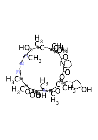 C/C1=C\[C@@H](C)C(=O)C[C@@H]([C@H](C)C[C@H]2CC[C@H](O)CC2)OC(=O)C2CCCCN2C(=O)C[C@@](C)(O)[C@H](C)CC[C@H](C)C[C@H](O)/C(C)=C/C=C/C=C/[C@@H](C)C[C@@H](C)C(=O)[C@H](O)[C@@H]1O